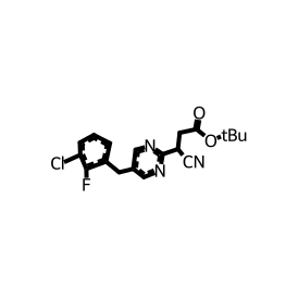 CC(C)(C)OC(=O)CC(C#N)c1ncc(Cc2cccc(Cl)c2F)cn1